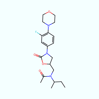 CCC(C)N(CC1CN(c2ccc(N3CCOCC3)c(F)c2)C(=O)O1)C(C)=O